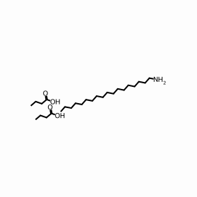 CCCC(=O)O.CCCC(=O)O.CCCCCCCCCCCCCCCCCCN